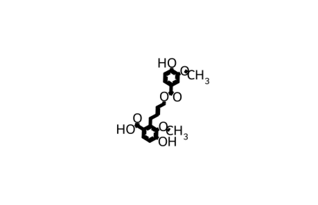 COc1cc(C(=O)OCC=CCc2c(C(=O)O)ccc(O)c2OC)ccc1O